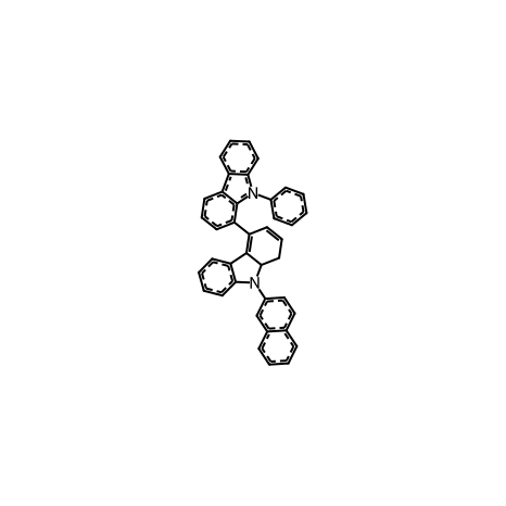 C1=CC(c2cccc3c4ccccc4n(-c4ccccc4)c23)=C2c3ccccc3N(c3ccc4ccccc4c3)C2C1